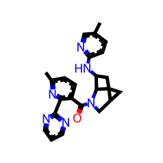 Cc1ccc(NC2CC34CC3CN(C(=O)c3ccc(C)nc3-c3ncccn3)C24)nc1